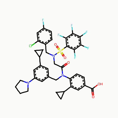 O=C(O)c1ccc(N(Cc2cc(C3CC3)cc(N3CCCC3)c2)C(=O)CN(Cc2ccc(F)cc2Cl)S(=O)(=O)c2c(F)c(F)c(F)c(F)c2F)c(C2CC2)c1